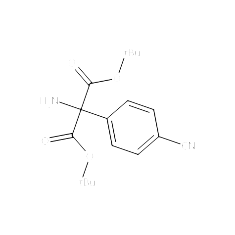 CC(C)(C)OC(=O)C(N)(C(=O)OC(C)(C)C)c1ccc(C#N)cc1